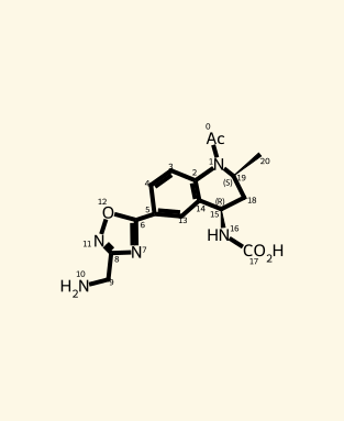 CC(=O)N1c2ccc(-c3nc(CN)no3)cc2[C@H](NC(=O)O)C[C@@H]1C